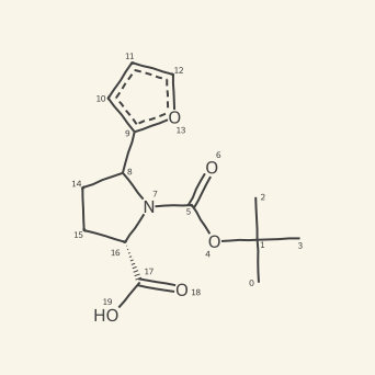 CC(C)(C)OC(=O)N1C(c2ccco2)CC[C@H]1C(=O)O